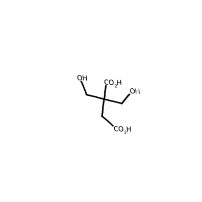 O=C(O)CC(CO)(CO)C(=O)O